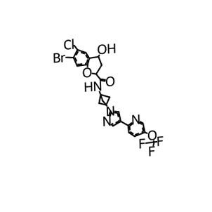 O=C(NC12CC(n3cc(-c4ccc(OC(F)(F)F)cn4)cn3)(C1)C2)C1CC(O)c2cc(Cl)c(Br)cc2O1